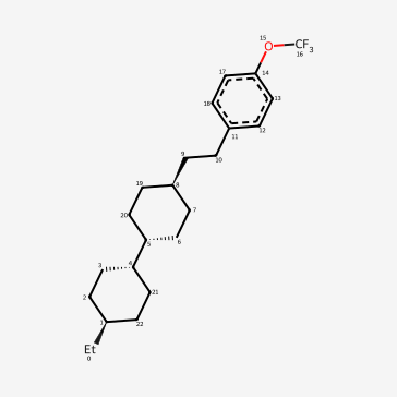 CC[C@H]1CC[C@H]([C@H]2CC[C@H](CCc3ccc(OC(F)(F)F)cc3)CC2)CC1